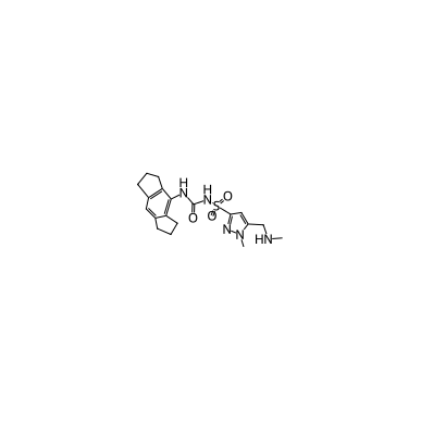 CNCc1cc(S(=O)(=O)NC(=O)Nc2c3c(cc4c2CCC4)CCC3)nn1C